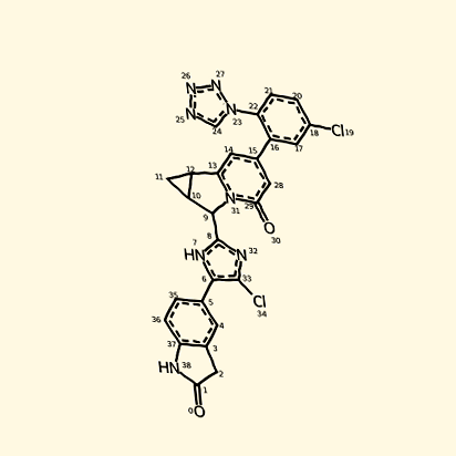 O=C1Cc2cc(-c3[nH]c(C4C5CC5c5cc(-c6cc(Cl)ccc6-n6cnnn6)cc(=O)n54)nc3Cl)ccc2N1